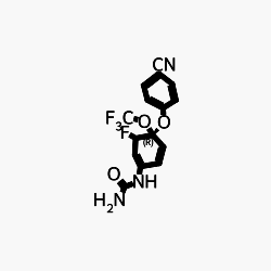 N#Cc1ccc(O[C@@]2(OC(F)(F)F)C=CC(NC(N)=O)=CC2F)cc1